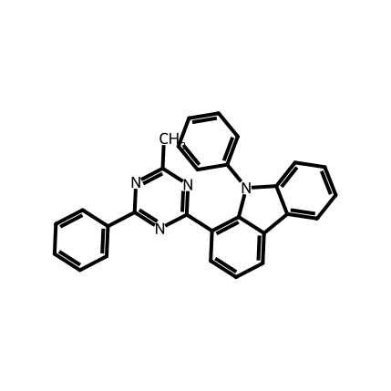 Cc1nc(-c2ccccc2)nc(-c2cccc3c4ccccc4n(-c4ccccc4)c23)n1